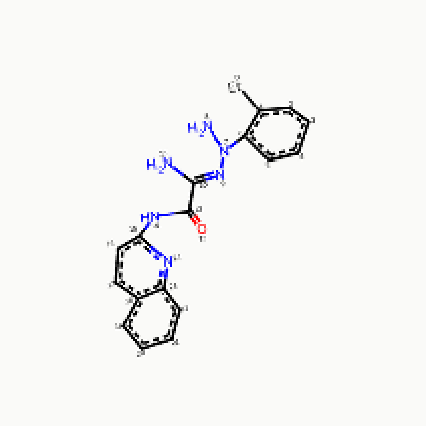 CCc1ccccc1N(N)/N=C(\N)C(=O)Nc1ccc2ccccc2n1